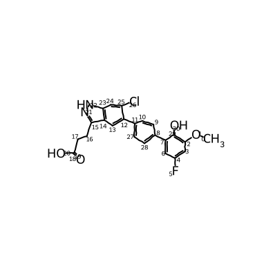 COc1cc(F)cc(-c2ccc(-c3cc4c(CCC(=O)O)n[nH]c4cc3Cl)cc2)c1O